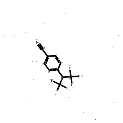 N#Cc1ccc(C(C(F)(F)F)C(F)(F)F)cc1